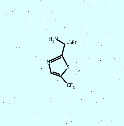 CC[C@@H](N)c1ncc(C(F)(F)F)s1